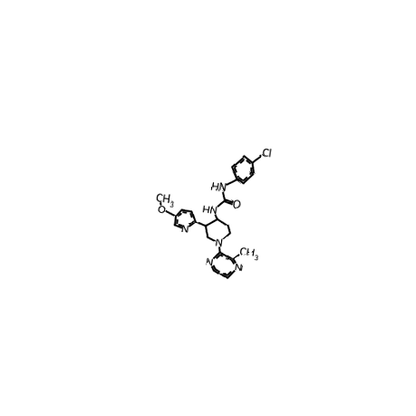 COc1ccc(C2CN(c3nccnc3C)CCC2NC(=O)Nc2ccc(Cl)cc2)nc1